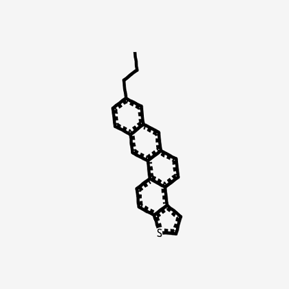 CCCc1ccc2cc3c(ccc4c5ccsc5ccc34)cc2c1